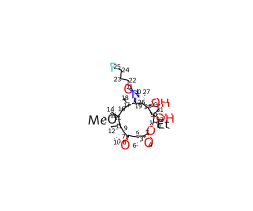 CC[C@H]1OC(=O)[C@H](C)C(=O)[C@H](C)[C@@H](C)[C@](C)(OC)C[C@@H](C)/C(=N\OCCCF)[C@H](C)[C@@H](O)[C@]1(C)O